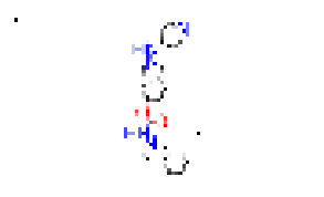 O=C(NN1CCc2ccccc2C1)Oc1ccc2c(c1)CN(Nc1ccncc1)C2